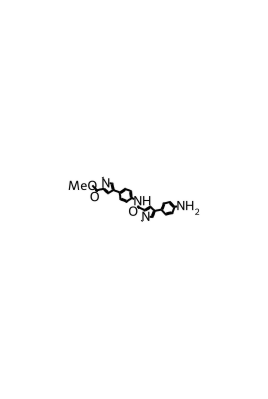 COC(=O)c1cc(-c2ccc(NC(=O)c3cc(-c4ccc(N)cc4)cn3C)cc2)cn1C